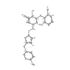 CC(=O)c1ccc(Cn2cc(CSc3nc(Cc4c(Cl)cccc4Cl)c(I)c(=O)[nH]3)nn2)cc1